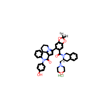 Cl.[2H]C1([2H])Oc2cc(C(=O)N3Cc4ccccc4C[C@H]3CN3CCOCC3)c(-c3cc(C(=O)N(c4ccccc4)c4ccc(O)cc4)c4n3CCCC4)cc2O1